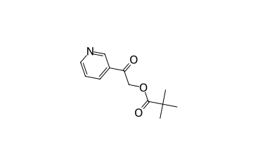 CC(C)(C)C(=O)OCC(=O)c1cccnc1